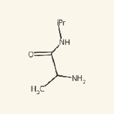 CC(C)NC(=O)C(C)N